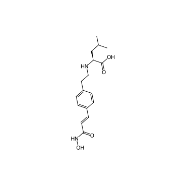 CC(C)C[C@H](NCCc1ccc(C=CC(=O)NO)cc1)C(=O)O